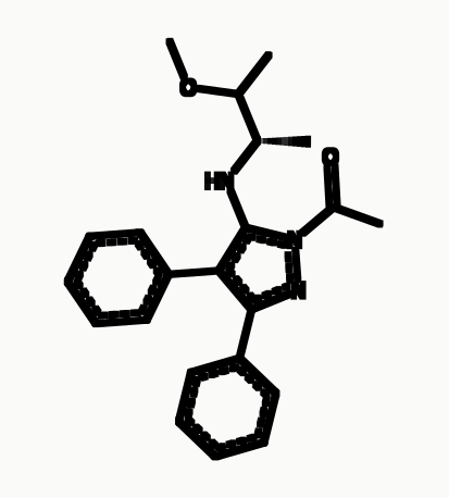 COC(C)[C@H](C)Nc1c(-c2ccccc2)c(-c2ccccc2)nn1C(C)=O